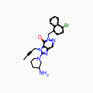 CC#CCn1c(N2CCCC(N)C2)nc2cnn(Cc3ccc(Br)c4ccccc34)c(=O)c21